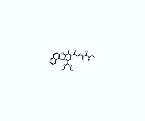 CCNC(=O)NOCC(=O)NC(C)C(=O)N(Cc1cccc2ccccc12)C(C)C(OCC)OCC